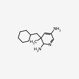 CC1(CC2CCCCC2)C=C(N)C=NC1N